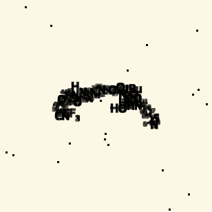 Cc1ncsc1-c1ccc([C@H](C)NC(=O)[C@@H]2C[C@@H](O)CN2C(=O)[C@@H](NC(=O)COCCN2CCN(c3cnc(C(=O)N[C@H]4C(C)(C)[C@H](Oc5ccc(C#N)c(C(F)(F)F)c5)C4(C)C)cn3)CC2)C(C)(C)C)cc1